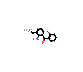 Nc1c(CC(=O)O)cccc1C(=O)c1ccccc1Br